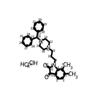 Cc1ccc2c(c1C)N(CCCN1CCN(C(c3ccccc3)c3ccccc3)CC1)C(=O)C2=O.Cl.Cl